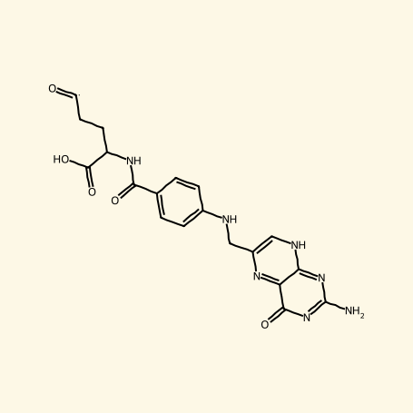 Nc1nc2[nH]cc(CNc3ccc(C(=O)NC(CC[C]=O)C(=O)O)cc3)nc-2c(=O)n1